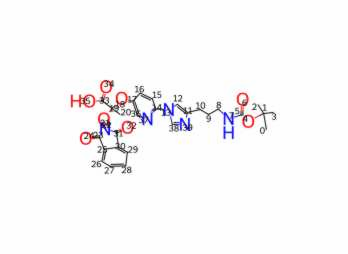 CC(C)(C)OC(=O)NCCCc1cn(-c2ccc(OC(C)(ON3C(=O)c4ccccc4C3=O)C(=O)O)cn2)cn1